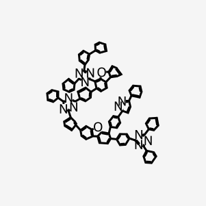 c1ccc(-c2cccc(-c3nc(-c4ccccc4)nc(-c4c(-c5ccc(-c6nc(-c7ccccc7)nc(-c7cccc(-c8ccc9c(c8)oc8c(-c%10ccc(-c%11ccc(-c%12ccccc%12)nn%11)cc%10)c(-c%10ccc(-c%11nc(-c%12ccccc%12)nc(-c%12ccccc%12)n%11)cc%10)ccc89)c7)n6)cc5)ccc5c4oc4ccccc45)n3)c2)cc1